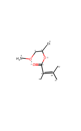 CCC(CO[SiH3])OC(=O)C(C)=C(C)C